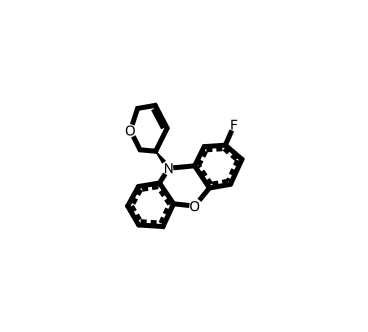 Fc1ccc2c(c1)N([C@@H]1C=CCOC1)c1ccccc1O2